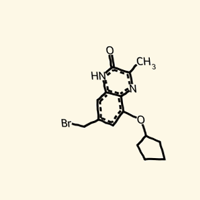 Cc1nc2c(OC3CCCC3)cc(CBr)cc2[nH]c1=O